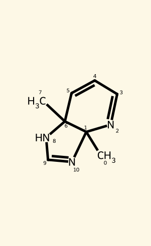 CC12N=CC=CC1(C)NC=N2